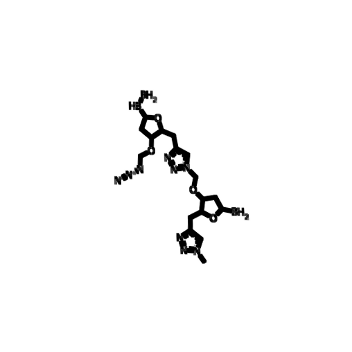 BBC1CC(OCN=[N+]=[N-])C(Cc2cn(COC3CC(B)OC3Cc3cn(C)nn3)nn2)O1